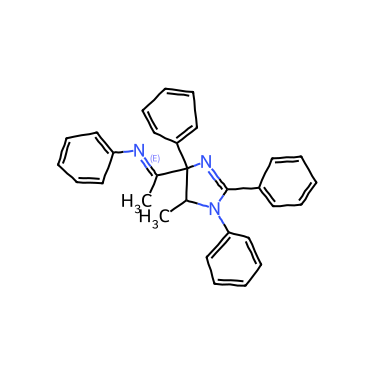 C/C(=N\c1ccccc1)C1(c2ccccc2)N=C(c2ccccc2)N(c2ccccc2)C1C